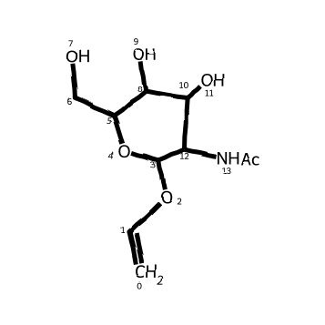 C=COC1OC(CO)C(O)C(O)C1NC(C)=O